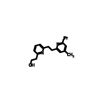 Cc1cc(CCc2cccc(CCO)n2)nc(C(C)C)c1